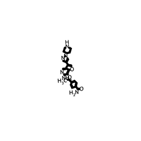 CC(Oc1c(N)ncc2c(-c3cnn(C4CCNCC4)c3)coc12)c1ccc(C(N)=O)cc1